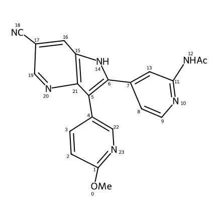 COc1ccc(-c2c(-c3ccnc(NC(C)=O)c3)[nH]c3cc(C#N)cnc23)cn1